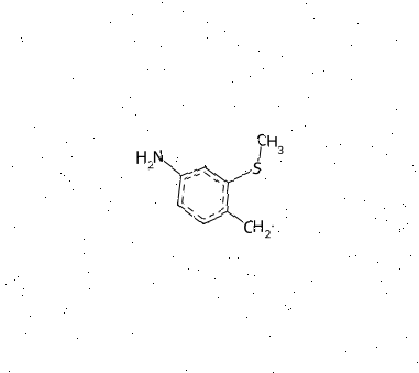 [CH2]c1ccc(N)cc1SC